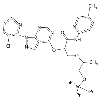 Cc1ccc(NC(=O)C(COC(C)CO[Si](C(C)C)(C(C)C)C(C)C)Oc2ncnc3c2cnn3-c2ncccc2Cl)nc1